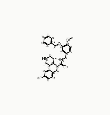 COc1ccc(CNC(=O)N(Cc2ccc(F)cc2)C2CCNCC2)cc1OCc1ccccc1